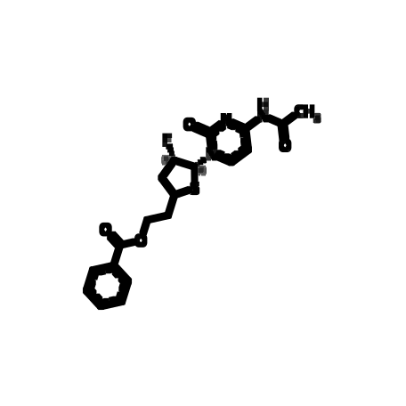 CC(=O)Nc1ccn([C@@H]2SC(CCOC(=O)c3ccccc3)C[C@@H]2F)c(=O)n1